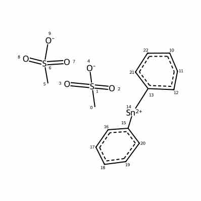 CS(=O)(=O)[O-].CS(=O)(=O)[O-].c1cc[c]([Sn+2][c]2ccccc2)cc1